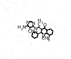 CC(Nc1ncnc(N)c1C#N)c1c(-c2ccccc2)n(C)c2c(F)cccc2c1=O